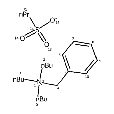 CCCC[N+](CCCC)(CCCC)Cc1ccccc1.CCCS(=O)(=O)[O-]